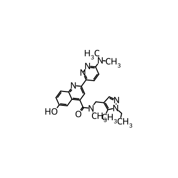 CCn1ncc(CN(C)C(=O)c2cc(-c3ccc(N(C)C)nn3)nc3ccc(O)cc23)c1C